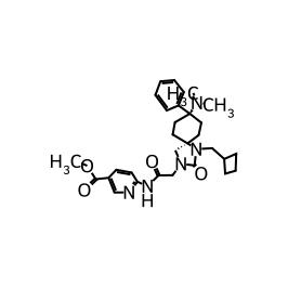 COC(=O)c1ccc(NC(=O)CN2C[C@]3(CC[C@](c4ccccc4)(N(C)C)CC3)N(CC3CCC3)C2=O)nc1